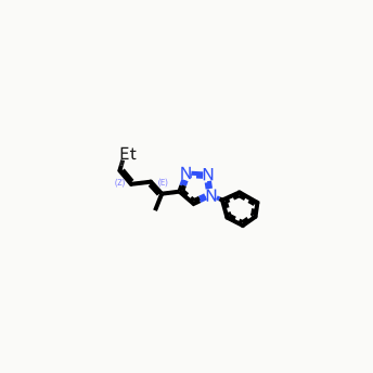 CC/C=C\C=C(/C)c1cn(-c2ccccc2)nn1